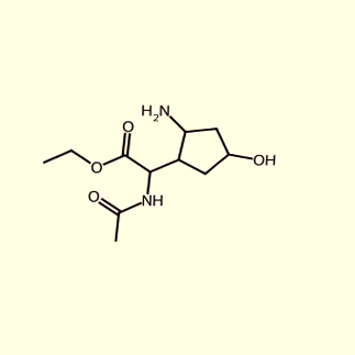 CCOC(=O)C(NC(C)=O)C1CC(O)CC1N